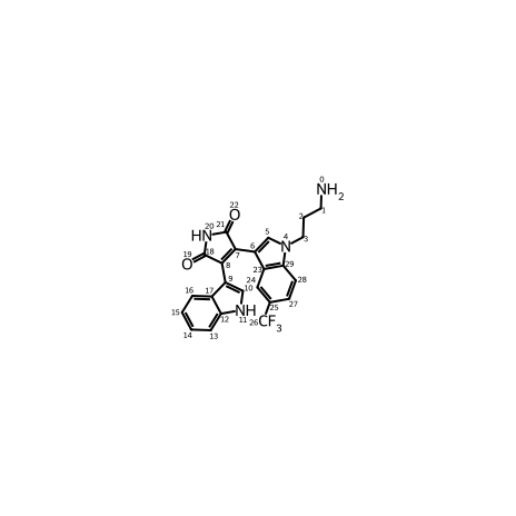 NCCCn1cc(C2=C(c3c[nH]c4ccccc34)C(=O)NC2=O)c2cc(C(F)(F)F)ccc21